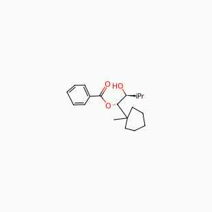 CC(C)[C@H](O)[C@@H](OC(=O)c1ccccc1)C1(C)CCCCC1